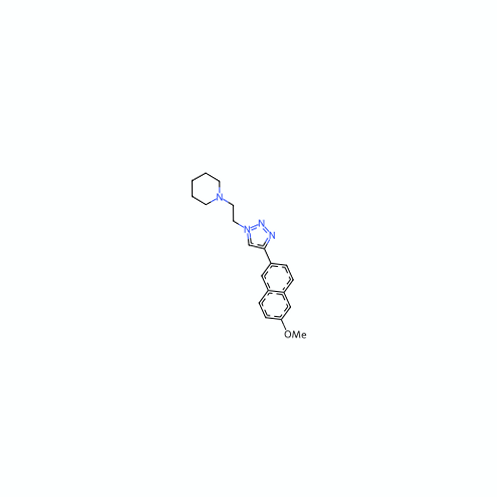 COc1ccc2cc(-c3cn(CCN4CCCCC4)nn3)ccc2c1